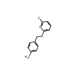 Cc1ccc(COc2cccc(F)n2)cc1